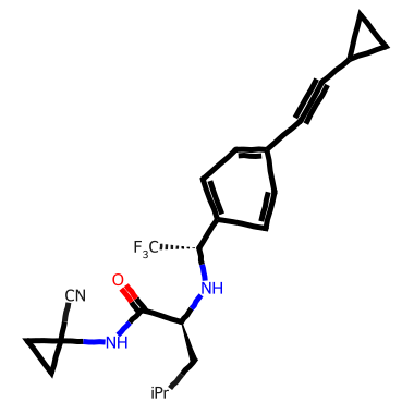 CC(C)C[C@H](N[C@@H](c1ccc(C#CC2CC2)cc1)C(F)(F)F)C(=O)NC1(C#N)CC1